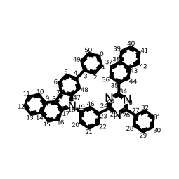 c1ccc(-c2ccc3c4c5ccccc5ccc4n(-c4cccc(-c5nc(-c6ccccc6)nc(-c6ccc7ccccc7c6)n5)c4)c3c2)cc1